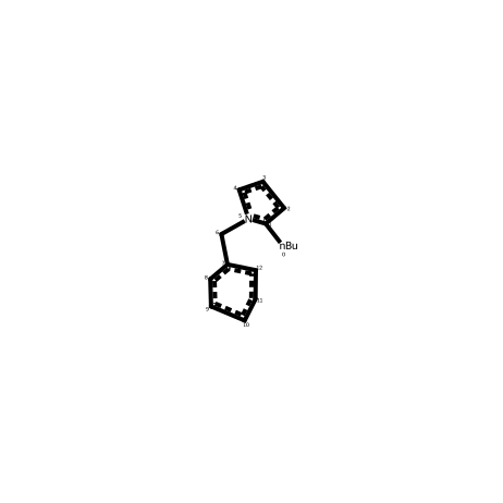 CCCCc1cccn1Cc1ccccc1